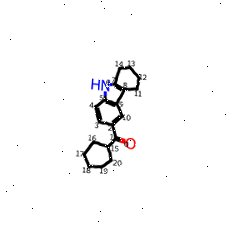 O=C(c1ccc2[nH]c3c(c2c1)CCCC3)C1CCCCC1